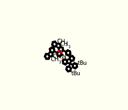 CC(C)(C)c1cccc(C2(c3cccc(C(C)(C)C)c3)c3ccccc3-c3c(N(c4ccc(-c5cccc6c5C(C)(C)c5ccccc5-6)cc4)c4ccccc4-c4ccc5c(c4)C(C)(C)c4ccccc4-5)cccc32)c1